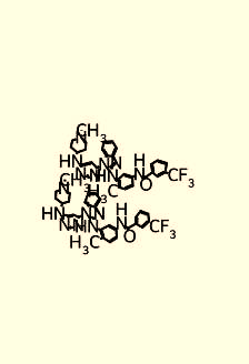 Cc1ccc(NC(=O)c2cccc(C(F)(F)F)c2)cc1Nc1nc2ccccc2n1-c1cc(NC2CCN(C)CC2)ncn1.Cc1ccc(NC(=O)c2cccc(C(F)(F)F)c2)cc1Nc1nc2ccccc2n1-c1cc(NC2CCN(C)CC2)ncn1